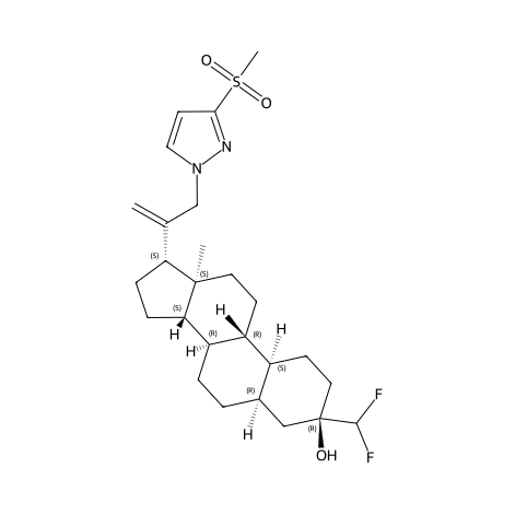 C=C(Cn1ccc(S(C)(=O)=O)n1)[C@H]1CC[C@H]2[C@@H]3CC[C@@H]4C[C@@](O)(C(F)F)CC[C@@H]4[C@H]3CC[C@]12C